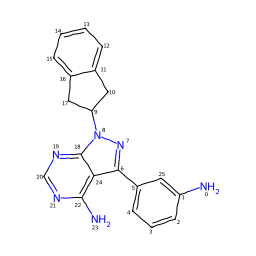 Nc1cccc(-c2nn(C3Cc4ccccc4C3)c3ncnc(N)c23)c1